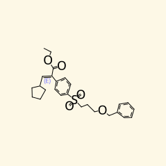 CCOC(=O)/C(=C/C1CCCC1)c1ccc(S(=O)(=O)CCCOCc2ccccc2)cc1